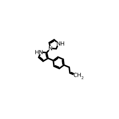 C=CCc1ccc(-c2cc[nH]c2N2C=CNC2)cc1